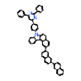 c1ccc(-c2cc(-c3ccc(-n4c5ccccc5c5c6cc(-c7ccc8ccc(-c9ccc%10ccccc%10c9)cc8c7)ccc6ccc54)cc3)nc(-c3ccccc3)n2)cc1